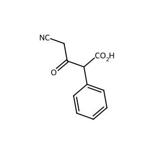 N#CCC(=O)C(C(=O)O)c1ccccc1